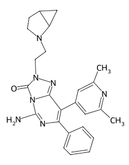 Cc1cc(-c2c(-c3ccccc3)nc(N)n3c(=O)n(CCN4CCC5CC54)nc23)cc(C)n1